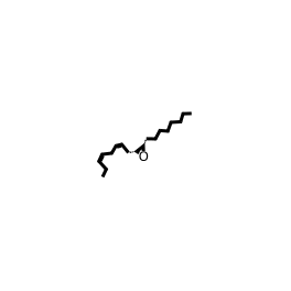 CC/C=C\C/C=C\C[C@H]1O[C@H]1CCCCCCCC